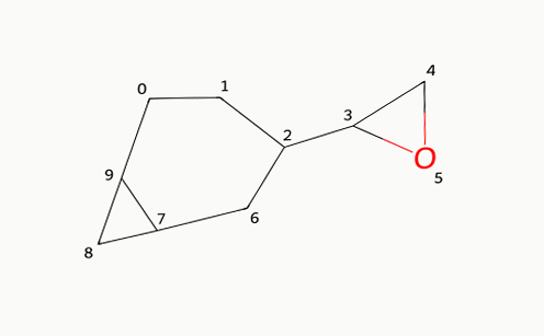 C1CC(C2CO2)CC2CC12